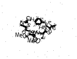 COC[C@H](NC(=O)c1cnc(C)s1)C(=O)N[C@@H](COC)C(=O)N[C@@H](Cc1ccccc1)C(=O)[C@]1(C)CO1